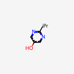 CC(C)c1ncc(O)cn1